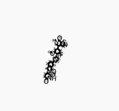 COc1cc(-c2cn(C)c(=O)c3sncc23)cc(F)c1[C@@H]1CCN(c2ccc3c(c2)C(=O)N([C@H]2CCC(=O)NC2=O)C3)C1